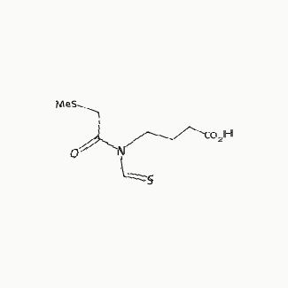 CSCC(=O)N(C=S)CCCC(=O)O